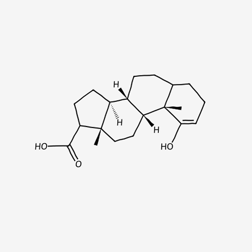 C[C@]12C(O)=CCCC1CC[C@@H]1[C@H]2CC[C@]2(C)C(C(=O)O)CC[C@@H]12